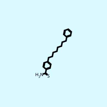 NC(=S)c1ccc(CCCCCCCCc2ccccc2)cc1